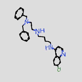 Clc1ccc2c(NCCCCNCCN(Cc3ccccc3)Cc3ccccc3)ccnc2c1